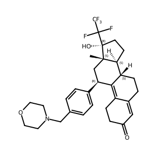 C[C@]12C[C@H](c3ccc(CN4CCOCC4)cc3)C3=C4CCC(=O)C=C4CC[C@H]3[C@@H]1CC[C@]2(O)C(F)(F)C(F)(F)F